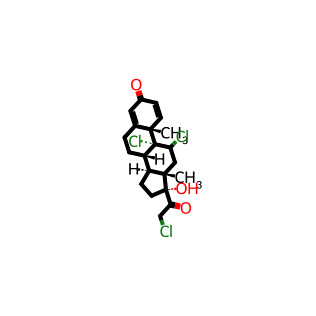 C[C@]12C=CC(=O)C=C1CC[C@H]1[C@@H]3CC[C@](O)(C(=O)CCl)[C@@]3(C)CC(Cl)[C@@]12Cl